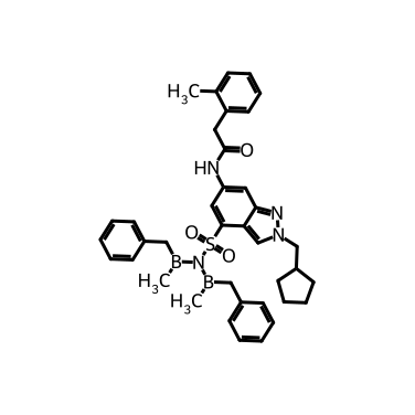 CB(Cc1ccccc1)N(B(C)Cc1ccccc1)S(=O)(=O)c1cc(NC(=O)Cc2ccccc2C)cc2nn(CC3CCCC3)cc12